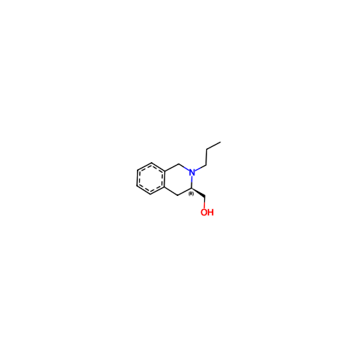 CCCN1Cc2ccccc2C[C@@H]1CO